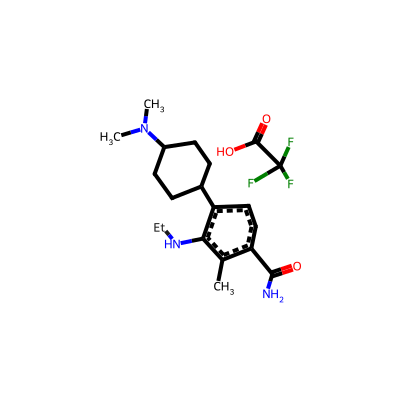 CCNc1c(C2CCC(N(C)C)CC2)ccc(C(N)=O)c1C.O=C(O)C(F)(F)F